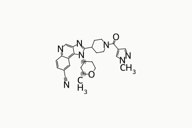 C[C@@H]1C[C@H](n2c(C3CCN(C(=O)c4cnn(C)c4)CC3)nc3cnc4ccc(C#N)cc4c32)CCO1